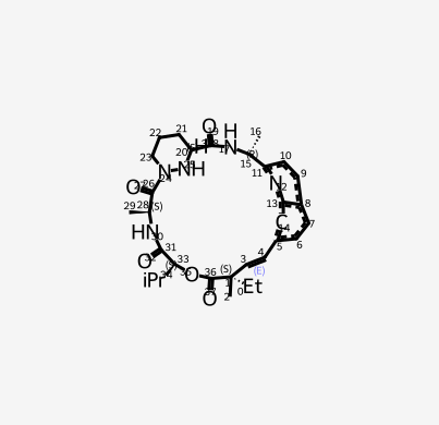 CC[C@@]1(C)/C=C/c2ccc3ccc(nc3c2)[C@@H](C)NC(=O)[C@@H]2CCCN(N2)C(=O)[C@H](C)NC(=O)[C@H](C(C)C)OC1=O